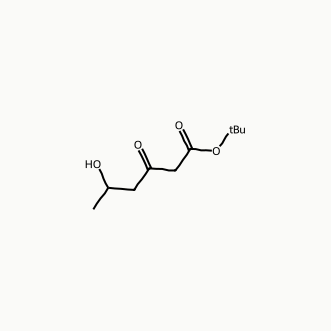 CC(O)CC(=O)CC(=O)OC(C)(C)C